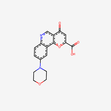 O=C(O)c1cc(=O)c2cnc3ccc(N4CCOCC4)cc3c2o1